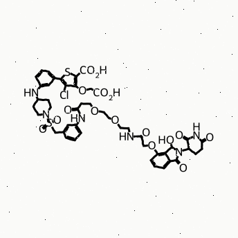 O=C(O)COc1c(C(=O)O)sc(-c2cccc(NC3CCN(S(=O)(=O)Cc4cccc(NC(=O)CCOCCOCCNC(=O)COc5cccc6c5C(O)N(C5CCC(=O)NC5=O)C6=O)c4)CC3)c2)c1Cl